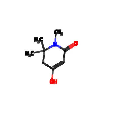 CN1C(=O)C=C(O)CC1(C)C